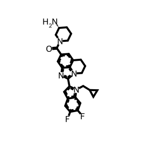 N[C@@H]1CCCN(C(=O)c2cc3c4c(c2)nc(-c2cc5cc(F)c(F)cc5n2CC2CC2)n4CCC3)C1